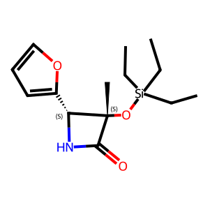 CC[Si](CC)(CC)O[C@]1(C)C(=O)N[C@@H]1c1ccco1